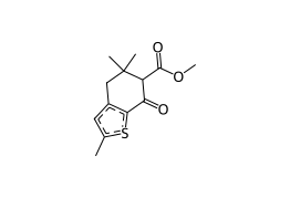 COC(=O)C1C(=O)c2sc(C)cc2CC1(C)C